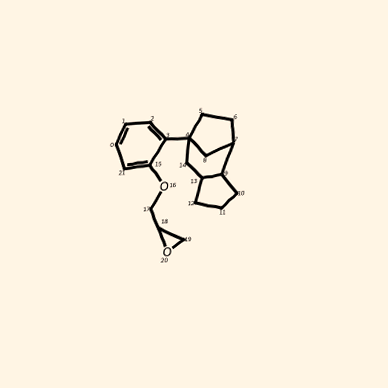 c1ccc(C23CCC(C2)C2CCCC2C3)c(OCC2CO2)c1